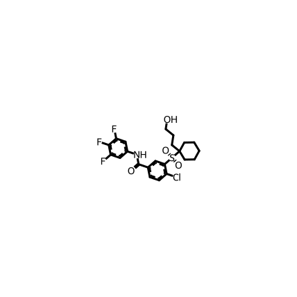 O=C(Nc1cc(F)c(F)c(F)c1)c1ccc(Cl)c(S(=O)(=O)C2(CCCO)CCCCC2)c1